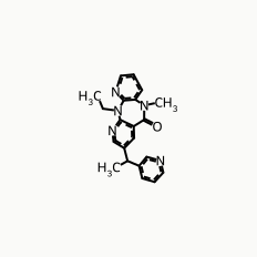 CCN1c2ncc(C(C)c3cccnc3)cc2C(=O)N(C)c2cccnc21